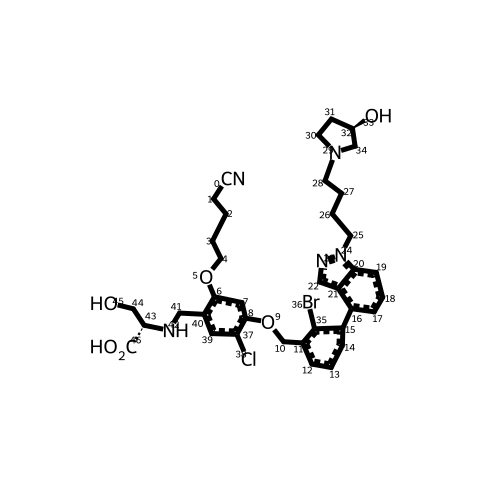 N#CCCCCOc1cc(OCc2cccc(-c3cccc4c3cnn4CCCCN3CC[C@@H](O)C3)c2Br)c(Cl)cc1CN[C@@H](CO)C(=O)O